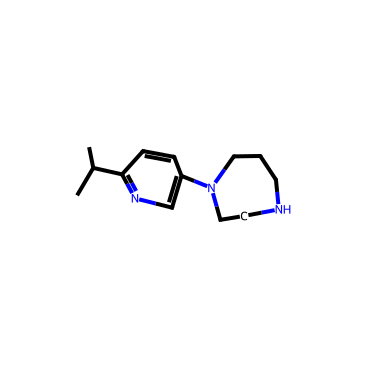 CC(C)c1ccc(N2CCCNCC2)cn1